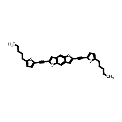 CCCCCc1ccc(C#Cc2cc3cc4sc(C#Cc5ccc(CCCCC)s5)cc4cc3s2)s1